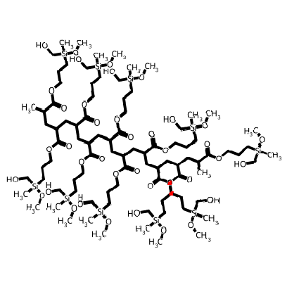 CO[Si](C)(CO)CCCOC(=O)C(C)CC(CC(CC(CC(CC(CC(CC(CC(CC(C)C(=O)OCCC[Si](C)(CO)OC)C(=O)OCCC[Si](C)(CO)OC)C(=O)OCCC[Si](C)(CO)OC)C(=O)OCCC[Si](C)(CO)OC)C(=O)OCCC[Si](C)(CO)OC)C(=O)OCCC[Si](C)(CO)OC)C(=O)OCCC[Si](C)(CO)OC)C(=O)OCCC[Si](C)(CO)OC)C(=O)OCCC[Si](C)(CO)OC